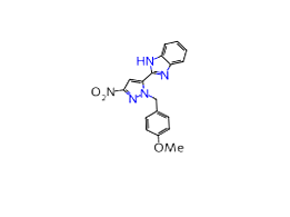 COc1ccc(Cn2nc([N+](=O)[O-])cc2-c2nc3ccccc3[nH]2)cc1